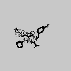 CC(C)C1N[C@@H]([C@@H](O)[C@H](Cc2ccccc2)NC(=O)OC(C)(C)C)C(=O)N1Cc1cccc(F)c1